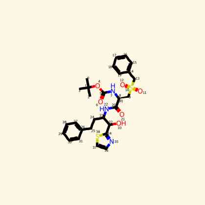 CC(C)(C)OC(=O)N[C@@H](CS(=O)(=O)Cc1ccccc1)C(=O)NC(CCc1ccccc1)C(O)c1nccs1